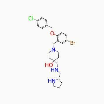 OC1(CNCC2CCCN2)CCN(Cc2cc(Br)ccc2OCc2ccc(Cl)cc2)CC1